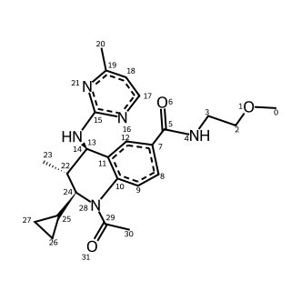 COCCNC(=O)c1ccc2c(c1)[C@H](Nc1nccc(C)n1)[C@@H](C)[C@H](C1CC1)N2C(C)=O